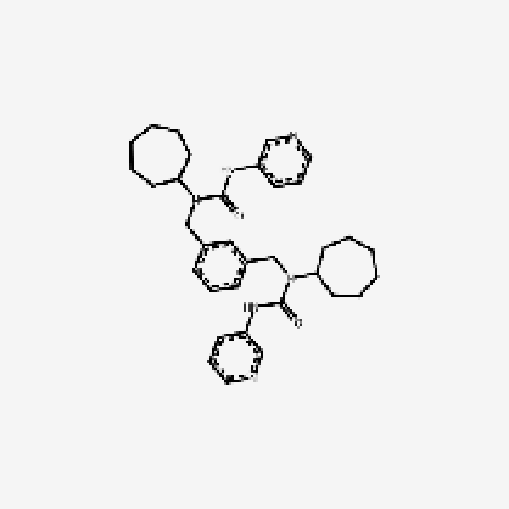 O=C(Nc1cccnc1)N(Cc1cccc(CN(C(=O)Nc2cccnc2)C2CCCCCC2)c1)C1CCCCCC1